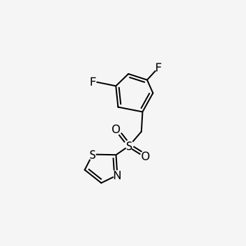 O=S(=O)(Cc1cc(F)cc(F)c1)c1nccs1